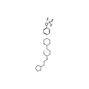 FC(F)(F)Oc1ccc([C@H]2CC[C@H]([C@H]3CC[C@H](CCCC4CCCC4)CC3)CC2)cc1